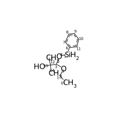 CCOC(O[SiH2]c1ccccc1)C(C)(C)O